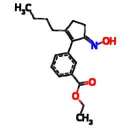 CCCCC1=C(c2cccc(C(=O)OCC)c2)/C(=N/O)CC1